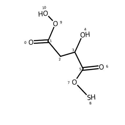 O=C(CC(O)C(=O)OS)OO